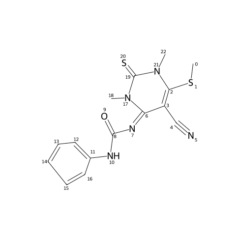 CSc1c(C#N)c(=NC(=O)Nc2ccccc2)n(C)c(=S)n1C